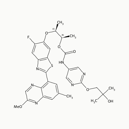 COc1cnc2c(-c3nc4cc(F)c(O[C@@H](C)[C@@H](C)OC(=O)Nc5cnc(OCC(C)(C)O)nc5)cc4s3)cc(C)cc2n1